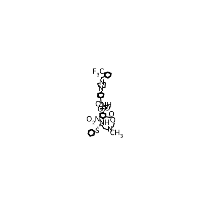 CN1CCOC(=O)c2cc(S(=O)(=O)NC(=O)c3ccc(N4CCN(Cc5ccccc5C(F)(F)F)CC4)cc3)cc([N+](=O)[O-])c2N[C@@H](CSc2ccccc2)CC1